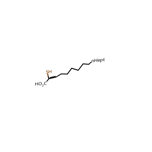 CCCCCCCCCCCCCC=C(S)C(=O)O